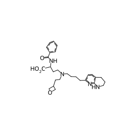 O=C(NC(CCN(CCCCc1ccc2c(n1)NCCC2)CCC1COC1)C(=O)O)c1ccccc1